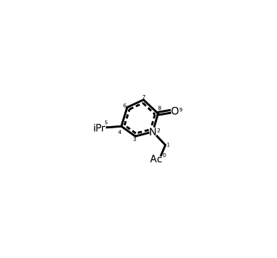 CC(=O)Cn1cc(C(C)C)ccc1=O